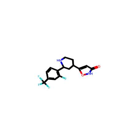 O=c1cc(C2CCNC(c3ccc(C(F)(F)F)cc3F)C2)o[nH]1